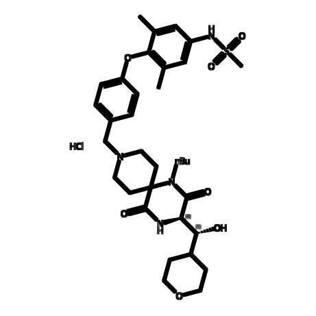 CCCCN1C(=O)[C@@H]([C@H](O)C2CCOCC2)NC(=O)C12CCN(Cc1ccc(Oc3c(C)cc(NS(C)(=O)=O)cc3C)cc1)CC2.Cl